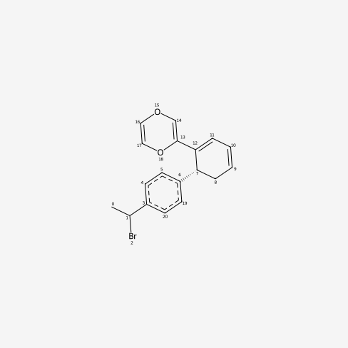 CC(Br)c1ccc([C@H]2CC=CC=C2C2=COC=CO2)cc1